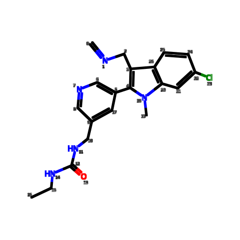 C=NCc1c(-c2cncc(CNC(=O)NCC)c2)n(C)c2cc(Cl)ccc12